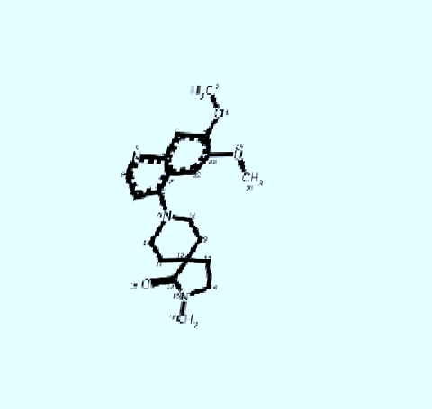 COc1cc2nccc(N3CCC4(CCN(C)C4=O)CC3)c2cc1OC